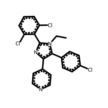 CCn1c(-c2c(Cl)cccc2Cl)nc(-c2ccncc2)c1-c1ccc(Cl)cc1